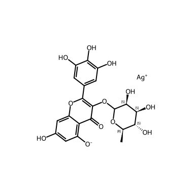 C[C@H]1OC(Oc2c(-c3cc(O)c(O)c(O)c3)oc3cc(O)cc([O-])c3c2=O)[C@@H](O)[C@@H](O)[C@@H]1O.[Ag+]